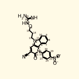 N#Cc1cc2c(c3ccccc3n2CCCONC(=N)N)n(-c2ccc([N+](=O)[O-])cc2)c1=O